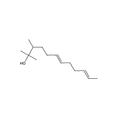 CC=CCCC=CCCC(C)C(C)(C)O